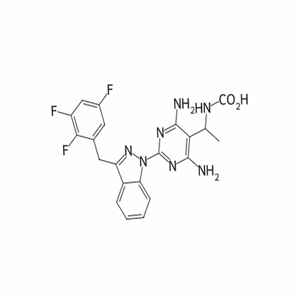 CC(NC(=O)O)c1c(N)nc(-n2nc(Cc3cc(F)cc(F)c3F)c3ccccc32)nc1N